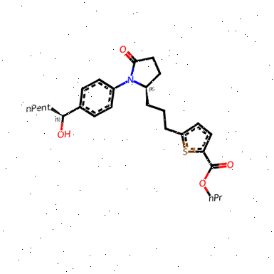 CCCCC[C@H](O)c1ccc(N2C(=O)CC[C@H]2CCCc2ccc(C(=O)OCCC)s2)cc1